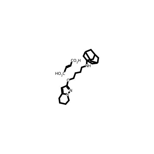 O=C(O)C=CC(=O)O.c1c(OCCCCNC23CC4CC(CC(C4)C2)C3)nn2c1CCCC2